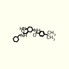 CC(C)c1ccc(C(=O)NC2CCC(=N)/C(=C\C(=O)NCC3CCCCC3)C2)cc1